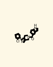 O=C(c1ccc2[nH]ccc2c1)N1CCc2c(cnn2-c2ccccc2Cl)C1